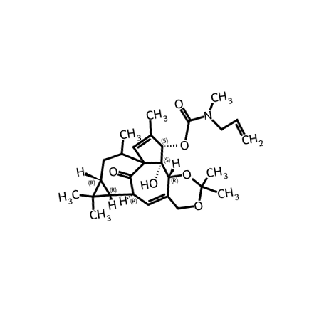 C=CCN(C)C(=O)O[C@H]1C(C)=CC23C(=O)[C@@H](C=C4COC(C)(C)O[C@H]4[C@]12O)[C@H]1[C@@H](CC3C)C1(C)C